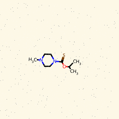 CC(C)OC(=S)N1CCN(C)CC1